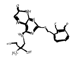 CC(O)(CO)CNc1nc(SCc2cccc(F)c2F)nc2[nH]c(=O)cnc12